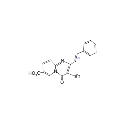 CCCc1c(/C=C/c2ccccc2)nc2ccc(C(=O)O)cn2c1=O